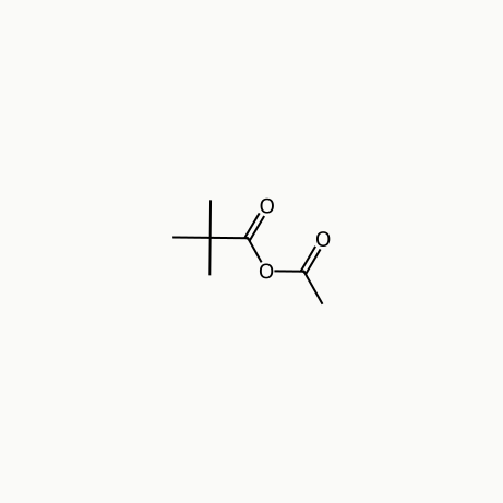 CC(=O)OC(=O)C(C)(C)C